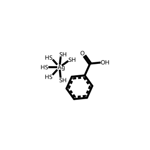 O=C(O)c1ccccc1.[SH][Ag]([SH])([SH])([SH])([SH])[SH]